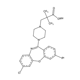 COC(=O)C(C)(C)CN1CCN(C2=Nc3ccc(Cl)cc3Oc3cc(C(C)C)ccc32)CC1